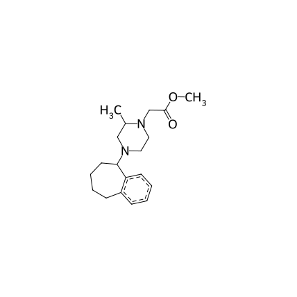 COC(=O)CN1CCN(C2CCCCc3ccccc32)CC1C